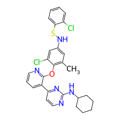 Cc1cc(NSc2ccccc2Cl)cc(Cl)c1Oc1ncccc1-c1ccnc(NC2CCCCC2)n1